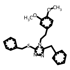 COc1ccc(CCn2c(Cc3ccccc3)nnc2SCc2ccccc2)cc1OC